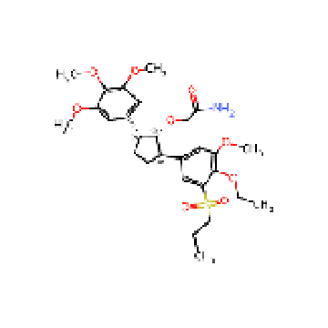 CCCS(=O)(=O)c1cc([C@H]2CC[C@H](c3cc(OC)c(OC)c(OC)c3)[C@@H]2OCC(N)=O)cc(OC)c1OCC